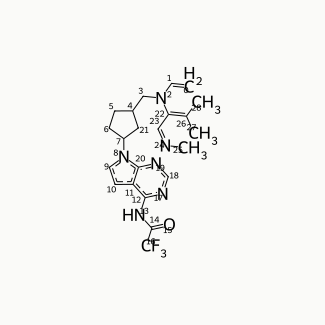 C=CN(CC1CCC(n2ccc3c(NC(=O)C(F)(F)F)ncnc32)C1)C(/C=N\C)=C(C)C